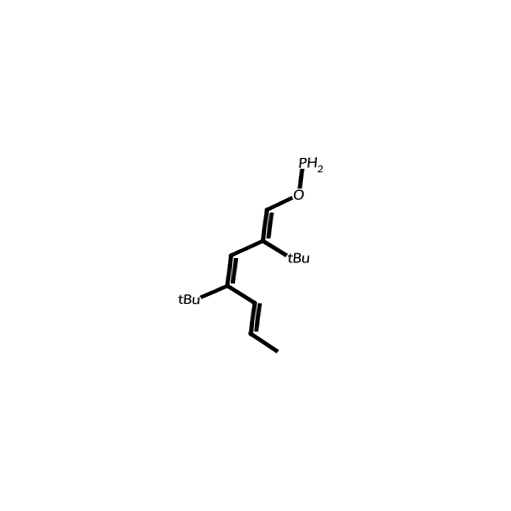 C/C=C/C(=C\C(=C\OP)C(C)(C)C)C(C)(C)C